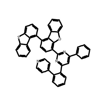 c1ccc(-c2cc(-c3ccccc3-c3ccncc3)nc(-c3ccc(-c4cccc5sc6ccccc6c45)c4c3oc3ccccc34)n2)cc1